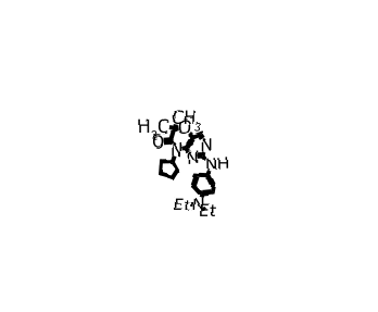 CCN(CC)c1ccc(Nc2ncc3c(n2)N(C2CCCC2)C(=O)C(C)(C)O3)cc1